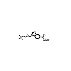 COC(=O)c1ccc2c(c1)ncn2COCC[Si](C)(C)C